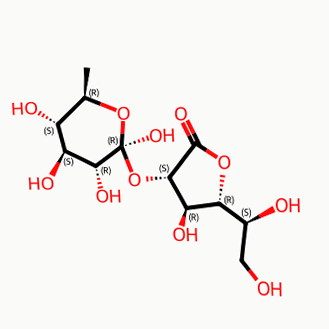 C[C@H]1O[C@@](O)(O[C@@H]2C(=O)O[C@H]([C@@H](O)CO)[C@H]2O)[C@H](O)[C@@H](O)[C@@H]1O